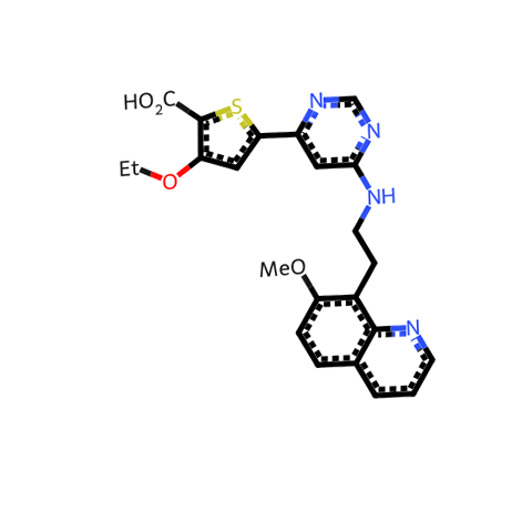 CCOc1cc(-c2cc(NCCc3c(OC)ccc4cccnc34)ncn2)sc1C(=O)O